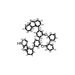 C1=Cc2c(sc3cccc(-c4ccc5c(c4)Oc4ccccc4-c4ccccc4Oc4cc(-c6cccc7sc8ncccc8c67)ccc4-5)c23)NC1